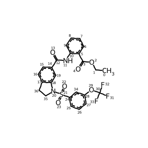 CCOC(=O)c1ccccc1NC(=O)c1ccc2c(c1)N(S(=O)(=O)c1cccc(OC(F)(F)F)c1)CC2